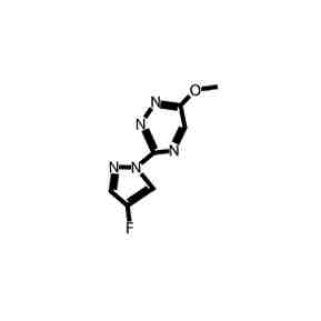 COc1cnc(-n2cc(F)cn2)nn1